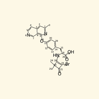 Cc1cc2ccncc2c(Oc2ccc(C[C@H](NC3=C(Br)C(=O)C3(C)C)C(=O)O)cc2)n1